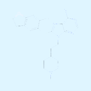 Nc1ncnc2c1nc(Sc1cc3c(cc1Br)OCC3)n2CCC1CCN(C=O)CC1